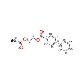 CCC(C)C(=O)OCCOC(=O)c1ccc(-c2ccccc2)cc1